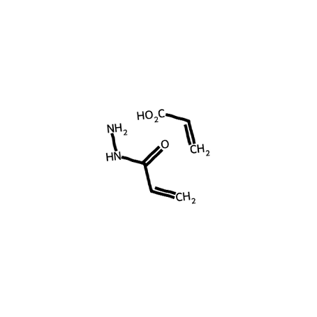 C=CC(=O)NN.C=CC(=O)O